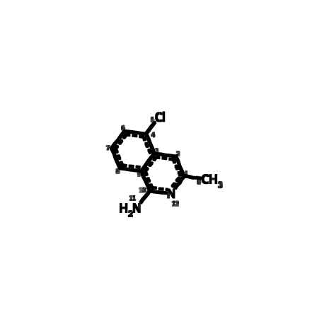 Cc1cc2c(Cl)cccc2c(N)n1